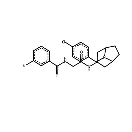 O=C(CNC(=O)c1cccc(Br)c1)NC1CC2CCC(C1)N2Cc1ccc(Cl)cc1